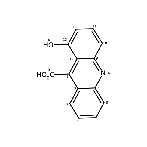 O=C(O)c1c2ccccc2nc2cccc(O)c12